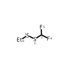 CCSSC(F)F